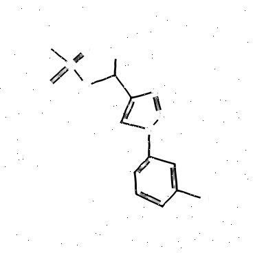 CC(OS(C)(=O)=O)c1cn(-c2cccc(Cl)c2)nn1